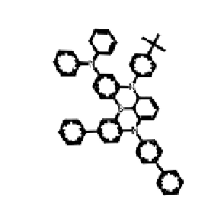 CC(C)(C)c1ccc(N2c3cc(N(c4ccccc4)C4C=CC=CC4)ccc3B3c4cc(-c5ccccc5)ccc4N(c4ccc(-c5ccccc5)cc4)C4=CC=CC2C34)cc1